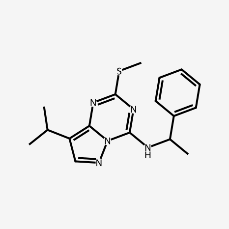 CSc1nc(NC(C)c2ccccc2)n2ncc(C(C)C)c2n1